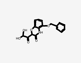 O=C1Nc2c(OCc3ccccc3)cccc2OC1C(=O)C(O)O